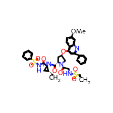 C=C[C@@H]1C[C@]1(NC(=O)[C@@H]1C[C@@H](Oc2cc(-c3ccccc3)nc3cc(OC)ccc23)CN1C(=O)CNS(=O)(=O)C=C)C(=O)NS(=O)(=O)c1ccccc1